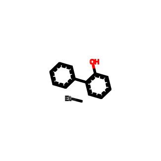 CCC.Oc1ccccc1-c1ccccc1